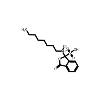 CCCCCCCC[NH+]([O-])C1(S(=O)(=O)O)OC(=O)c2ccccc21